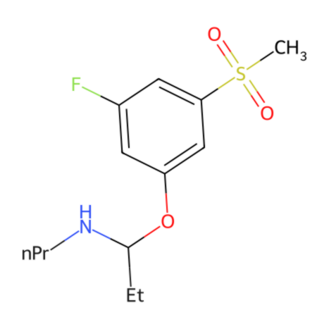 CCCNC(CC)Oc1cc(F)cc(S(C)(=O)=O)c1